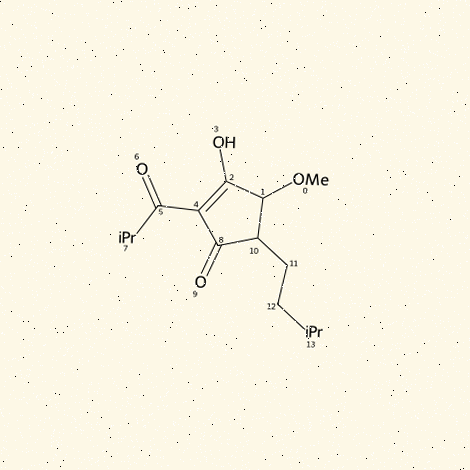 COC1C(O)=C(C(=O)C(C)C)C(=O)C1CCC(C)C